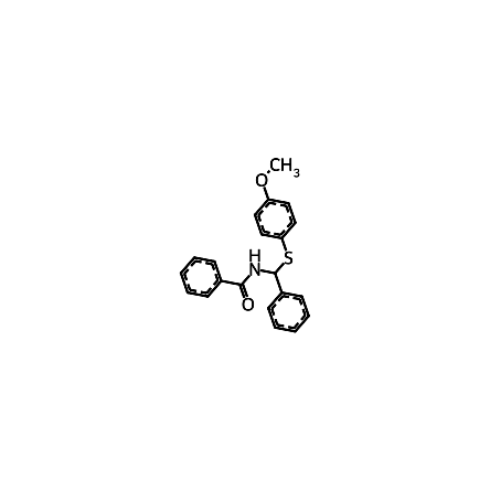 COc1ccc(SC(NC(=O)c2ccccc2)c2ccccc2)cc1